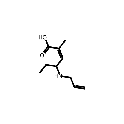 C=CCNC(C=C(C)C(=O)O)CC